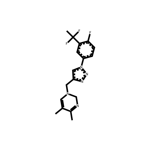 CC1=CN(Cc2cn(-c3ccc(F)c(C(C)(F)F)c3)nn2)CN=C1C